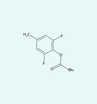 Cc1cc(F)c(OC(=O)C(C)(C)C)c(F)c1